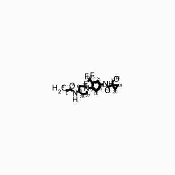 C=CC(=O)NC1CCN(c2ccc(NC(=O)C3(C=O)CC3)cc2C(F)(F)F)CC1